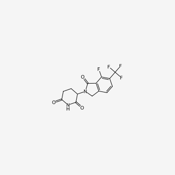 O=C1CCC(N2Cc3ccc(C(F)(F)F)c(F)c3C2=O)C(=O)N1